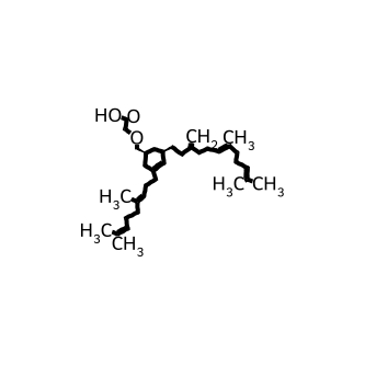 C=C(CC/C=C(\C)CCC=C(C)C)CC[C@H]1C=C(CC/C=C(\C)CCC=C(C)C)C[C@@H](COCC(=O)O)C1